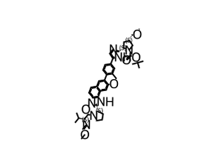 COC=N[C@H](C(=O)N1CCC[C@H]1c1nc2ccc3cc4c(cc3c2[nH]1)OCc1cc(-c2cnc([C@@H]3C[C@H](COC)CN3C(=O)OC(C)(C)C)[nH]2)ccc1-4)C(C)C